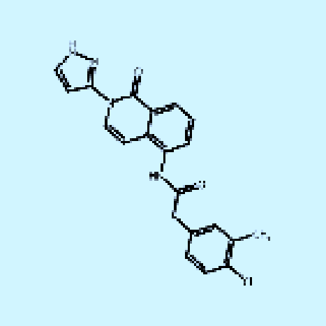 O=C(Cc1ccc(Cl)c(C(F)(F)F)c1)Nc1cccc2c(=O)n(-c3cc[nH]n3)ccc12